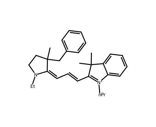 CCC[N+]1=C(/C=C/C=C2/N(CC)CCC2(C)Cc2ccccc2)C(C)(C)c2ccccc21